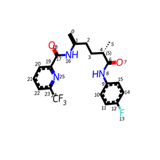 C=C(CC[C@H](C)C(=O)Nc1ccc(F)cc1)NC(=O)c1cccc(C(F)(F)F)n1